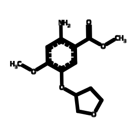 COC(=O)c1cc(OC2CCOC2)c(OC)cc1N